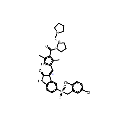 Cc1[nH]c(/C=C2\C(=O)Nc3ccc(S(=O)(=O)Cc4cc(Cl)ccc4Cl)cc32)c(C)c1C(=O)N1CCC[C@H]1CN1CCCC1